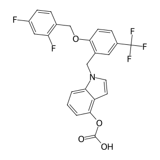 O=C(O)Oc1cccc2c1ccn2Cc1cc(C(F)(F)F)ccc1OCc1ccc(F)cc1F